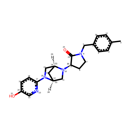 Cc1ccc(CN2CC[C@@H](N3C[C@@H]4C[C@H]3CN4c3ccc(O)cn3)C2=O)cc1